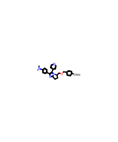 COc1ccc(COCC2CCc3nc(-c4ccc(N(C)C)cc4)c(-c4ccncc4)n32)cc1